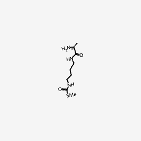 CSC(=O)NCCCCNC(=O)[C@H](C)N